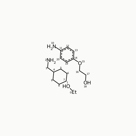 CCO.NCC1CCCCC1.Nc1ccc(OCCO)cc1